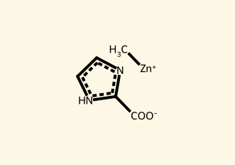 O=C([O-])c1ncc[nH]1.[CH3][Zn+]